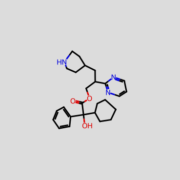 O=C(OCC(CC1CCNCC1)c1ncccn1)C(O)(c1ccccc1)C1CCCCC1